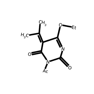 CCOC1=NC(=O)N(C(C)=O)C(=O)C1=C(C)C